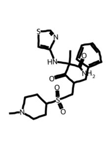 CN1CCC(S(=O)(=O)CC(Cc2ccccc2)C(=O)C(C)(Nc2cscn2)C(N)=O)CC1